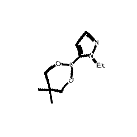 CCn1nccc1B1OCC(C)(C)CO1